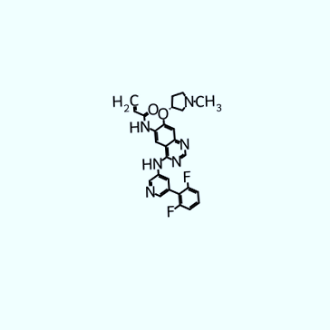 C=CC(=O)Nc1cc2c(Nc3cncc(-c4c(F)cccc4F)c3)ncnc2cc1O[C@@H]1CCN(C)C1